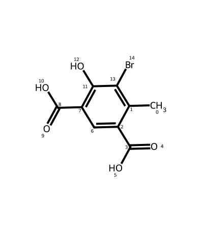 Cc1c(C(=O)O)cc(C(=O)O)c(O)c1Br